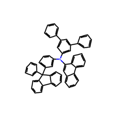 c1ccc(-c2cc(-c3ccccc3)cc(N(c3cccc(C4(c5ccccc5)c5ccccc5-c5ccccc54)c3)c3cc4ccccc4c4ccccc34)c2)cc1